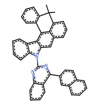 CC1(C)c2ccccc2-c2c3c1cccc3cc1c2c2ccccc2n1-c1nc(-c2ccc3ccccc3c2)c2ccccc2n1